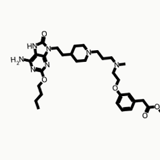 CCCCOc1nc(N)c2[nH]c(=O)n(CCC3CCN(CCCN(C)CCOc4cccc(CC(=O)OC)c4)CC3)c2n1